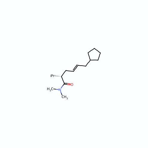 CC(C)[C@H](CC=CCC1CCCC1)C(=O)N(C)C